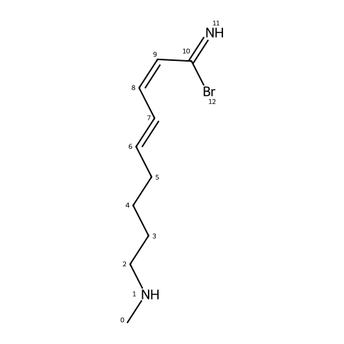 CNCCCC/C=C/C=C\C(=N)Br